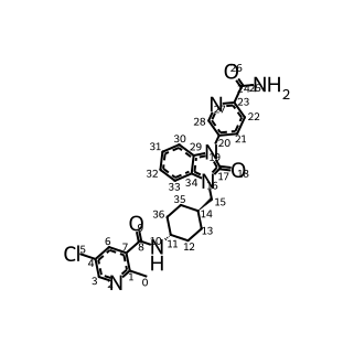 Cc1ncc(Cl)cc1C(=O)N[C@H]1CC[C@H](Cn2c(=O)n(-c3ccc(C(N)=O)nc3)c3ccccc32)CC1